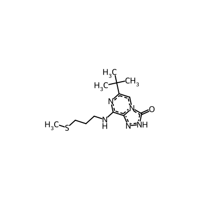 CSCCCNc1nc(C(C)(C)C)cn2c(=O)[nH]nc12